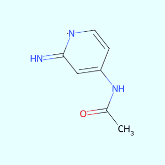 CC(=O)NC1=CC(=N)[N]C=C1